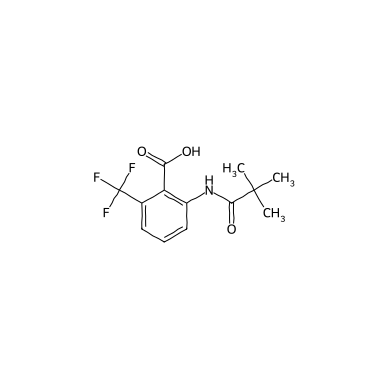 CC(C)(C)C(=O)Nc1cccc(C(F)(F)F)c1C(=O)O